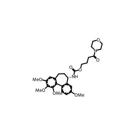 COc1ccc2c(c1)[C@@H](NC(=O)OCCCC(=O)N1CCOCC1)CCc1cc(OC)c(OC)c(OC)c1-2